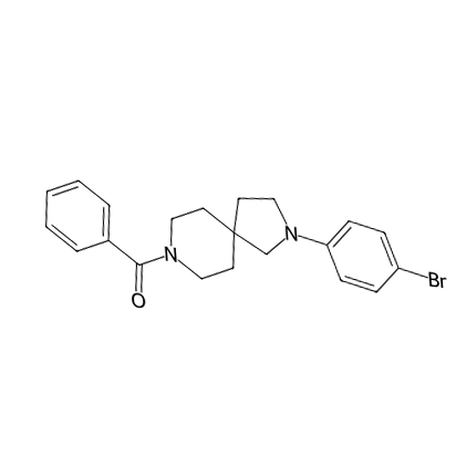 O=C(c1ccccc1)N1CCC2(CC1)CCN(c1ccc(Br)cc1)C2